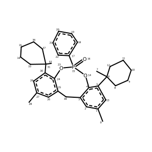 Cc1cc2c(c(C3(C)CCCCC3)c1)OP(=O)(c1ccccc1)Oc1c(cc(C)cc1C1(C)CCCCC1)C2